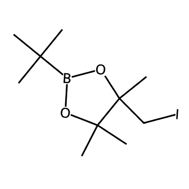 CC(C)(C)B1OC(C)(C)C(C)(CI)O1